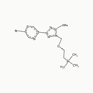 CSc1nc(-c2ccc(Br)cn2)nn1COCC[Si](C)(C)C